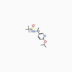 CC(C)Oc1ccc([C@H](C)N[S@@+]([O-])C(C)(C)C)cn1